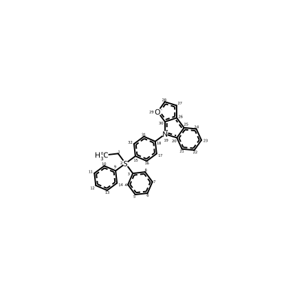 CCS(c1ccccc1)(c1ccccc1)c1ccc(-n2c3ccccc3c3ccoc32)cc1